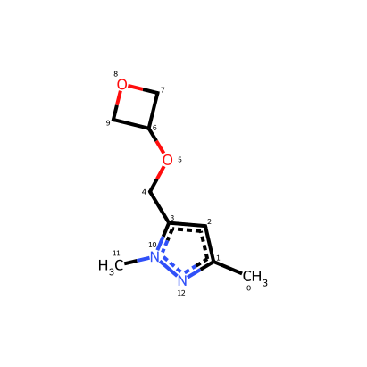 Cc1cc(COC2COC2)n(C)n1